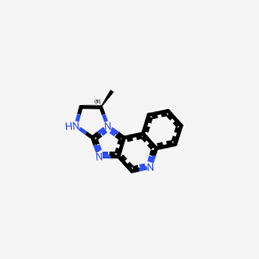 C[C@@H]1CNc2nc3cnc4ccccc4c3n21